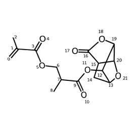 C=C(C)C(=O)OCC(C)C(=O)OC1C2CC3C(=O)OC1C3O2